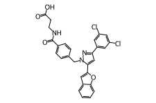 O=C(O)CCNC(=O)c1ccc(Cn2nc(-c3cc(Cl)cc(Cl)c3)cc2-c2cc3ccccc3o2)cc1